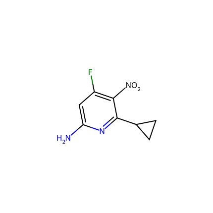 Nc1cc(F)c([N+](=O)[O-])c(C2CC2)n1